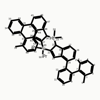 Cc1cccc(C)c1-c1ccccc1-c1cccc2c1C=C1[CH]2[Hf]([CH3])([CH3])[CH]2C(=Cc3c(-c4ccccc4-c4c(C)cccc4C)cccc32)[Si]1(C(C)C)C(C)C